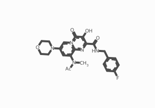 CC(=O)N(C)c1cc(N2CCOCC2)cn2c(=O)c(O)c(C(=O)NCc3ccc(F)cc3)nc12